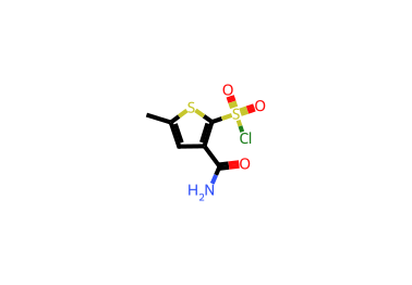 Cc1cc(C(N)=O)c(S(=O)(=O)Cl)s1